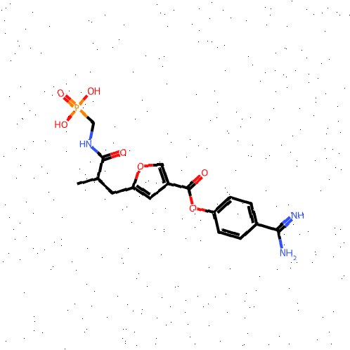 CC(Cc1cc(C(=O)Oc2ccc(C(=N)N)cc2)co1)C(=O)NCP(=O)(O)O